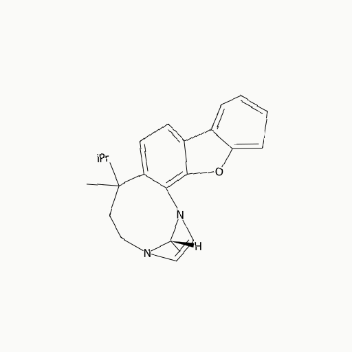 CC(C)C1(C)CCN2C=CN(c3c1ccc1c3oc3ccccc31)[C@@H]2C